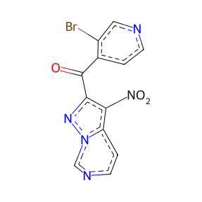 O=C(c1ccncc1Br)c1nn2cnccc2c1[N+](=O)[O-]